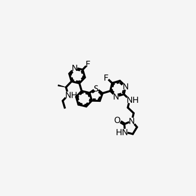 CCN[C@@H](C)c1cnc(F)cc1-c1cccc2cc(-c3nc(NCCN4CCNC4=O)ncc3F)sc12